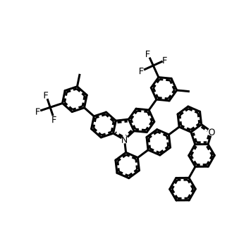 Cc1cc(-c2ccc3c(c2)c2cc(-c4cc(C)cc(C(F)(F)F)c4)ccc2n3-c2ccccc2-c2ccc(-c3cccc4oc5ccc(-c6ccccc6)cc5c34)cc2)cc(C(F)(F)F)c1